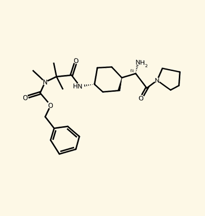 CN(C(=O)OCc1ccccc1)C(C)(C)C(=O)N[C@H]1CC[C@H]([C@H](N)C(=O)N2CCCC2)CC1